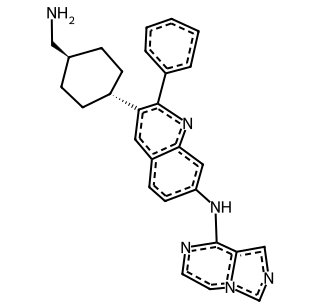 NC[C@H]1CC[C@H](c2cc3ccc(Nc4nccn5cncc45)cc3nc2-c2ccccc2)CC1